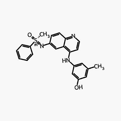 Cc1cc(O)cc(Nc2ccnc3ccc(N=[S@](C)(=O)c4ccccc4)cc23)c1